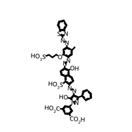 Cc1cc(N=Nc2ccc3c(S(=O)(=O)O)c(N=Nc4c(-c5ccccc5)nn(-c5cc(C(=O)O)cc(C(=O)O)c5)c4O)ccc3c2O)c(OCCCS(=O)(=O)O)cc1N=Nc1nc2ccccc2s1